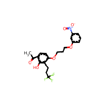 CC(=O)c1ccc(OCCCOc2cccc([N+](=O)[O-])c2)c(CCC(F)(F)F)c1O